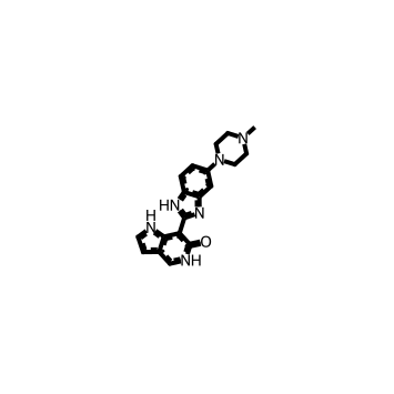 CN1CCN(c2ccc3[nH]c(-c4c(=O)[nH]cc5cc[nH]c45)nc3c2)CC1